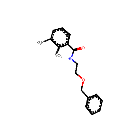 O=C(NCCOCc1ccccc1)c1cccc([N+](=O)[O-])c1[N+](=O)[O-]